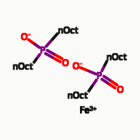 CCCCCCCCP(=O)([O-])CCCCCCCC.CCCCCCCCP(=O)([O-])CCCCCCCC.[Fe+2]